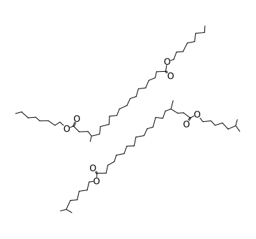 CC(C)CCCCCOC(=O)CCCCCCCCCCCCCCC(C)CCC(=O)OCCCCCC(C)C.CCCCCCCCOC(=O)CCCCCCCCCCCCCCC(C)CCC(=O)OCCCCCCCC